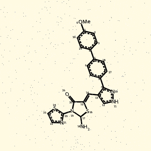 COc1ccc(-c2ccc(-c3n[nH]cc3/C=C3\SC(N)N(c4nccs4)C3=O)cc2)cc1